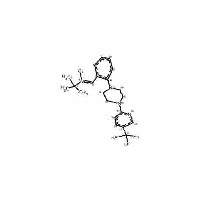 CC(C)(C)[N+]([O-])=Cc1ccccc1N1CCN(c2ccc(C(F)(F)F)cn2)CC1